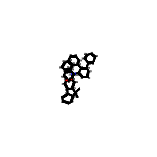 CC1(C)c2ccccc2-c2ccc(N(c3ccccc3)c3cccc(-c4ccccc4)c3-c3ccccc3-c3ccccc3)cc21